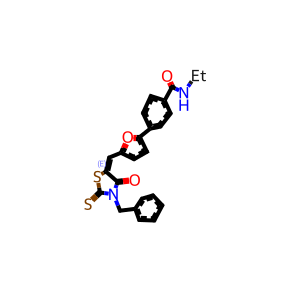 CCNC(=O)c1ccc(-c2ccc(/C=C3/SC(=S)N(Cc4ccccc4)C3=O)o2)cc1